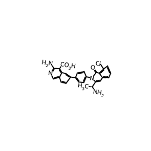 C[C@H](N)c1cc2cccc(Cl)c2c(=O)n1-c1ccc(-c2ccc3cnc(N)c(C(=O)O)c3c2)cc1